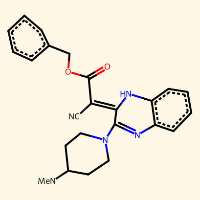 CNC1CCN(C2=Nc3ccccc3N/C2=C(/C#N)C(=O)OCc2ccccc2)CC1